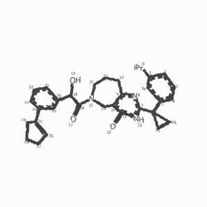 CC(C)c1cccc(C2(c3nc4c(c(=O)[nH]3)CN(C(=O)C(O)c3cccc(C5=CCCC5)c3)CCC4)CC2)c1